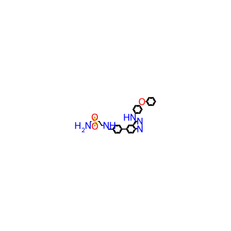 NCS(=O)(=O)CCNCc1ccc(-c2ccc3ncnc(Nc4ccc(Oc5ccccc5)cc4)c3c2)cc1